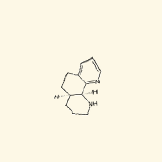 c1cnc2c(c1)CC[C@@H]1CCCN[C@H]21